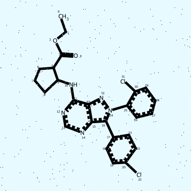 CCOC(=O)C1CCCC1Nc1ncnc2c(-c3ccc(Cl)cc3)n(-c3ccccc3Cl)nc12